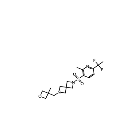 Cc1nc(C(C)(F)F)ccc1S(=O)(=O)N1CC2(CN(CC3(C)COC3)C2)C1